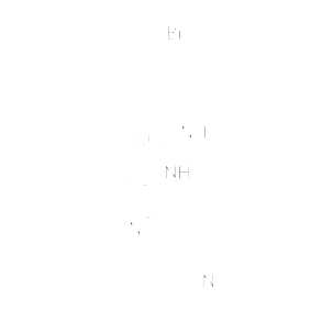 O=C(Nc1ccc(Br)cc1)NC1C2CCN(CC2)C1Cc1cccnc1